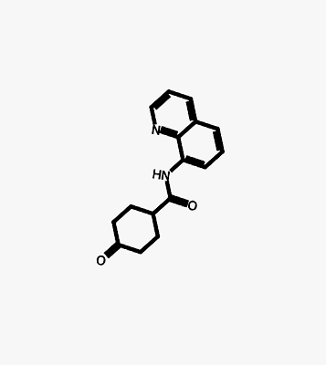 O=C1CCC(C(=O)Nc2cccc3cccnc23)CC1